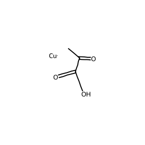 CC(=O)C(=O)O.[Cu]